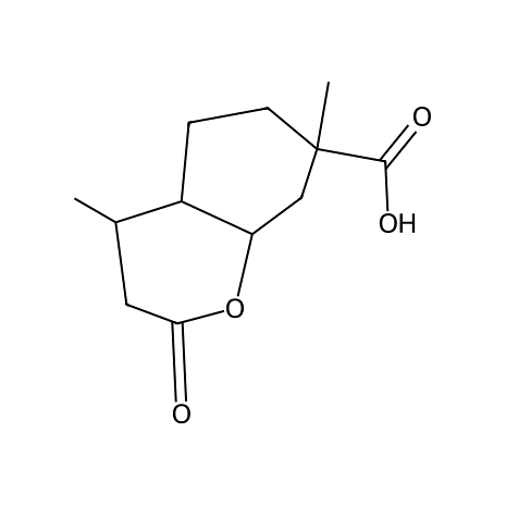 CC1CC(=O)OC2CC(C)(C(=O)O)CCC12